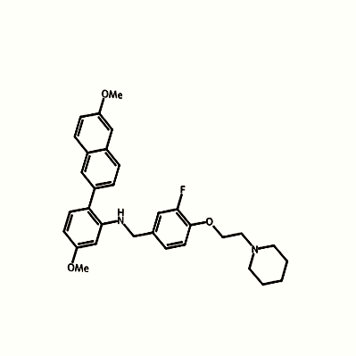 COc1ccc(-c2ccc3cc(OC)ccc3c2)c(NCc2ccc(OCCN3CCCCC3)c(F)c2)c1